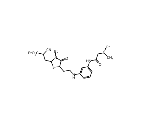 CCOC(=O)C(C#N)CC1SC(CCNc2cccc(NC(=O)CN(C)C(C)C)c2)C(=O)N1CC